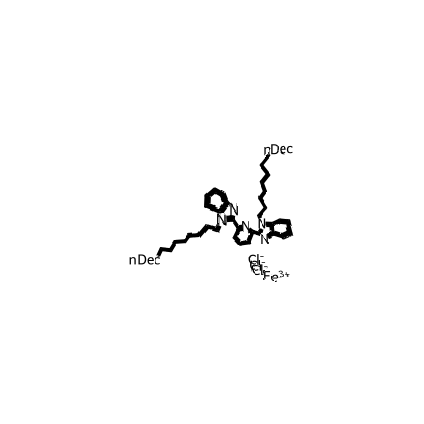 CCCCCCCCCCCCCCCCCCn1c(-c2cccc(-c3nc4ccccc4n3CCCCCCCCCCCCCCCCCC)n2)nc2ccccc21.[Cl-].[Cl-].[Cl-].[Fe+3]